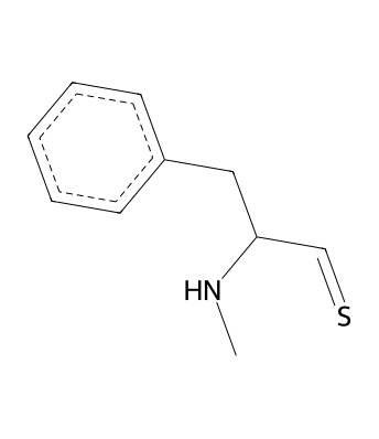 CNC(C=S)Cc1ccccc1